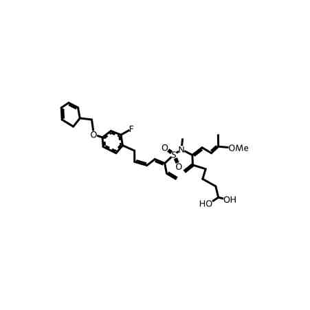 C=C/C(=C\C=C/Cc1ccc(OCC2C=CC=CC2)cc1F)S(=O)(=O)N(C)/C(=C/C=C(\C)OC)C(=C)CCCC(O)O